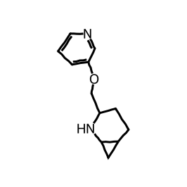 c1cncc(OCC2CCC3CC3N2)c1